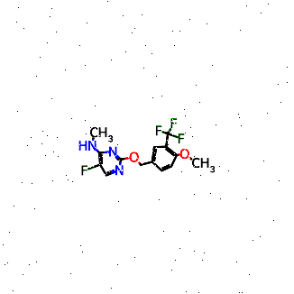 CNc1nc(OCc2ccc(OC)c(C(F)(F)F)c2)ncc1F